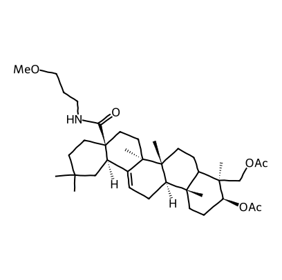 COCCCNC(=O)[C@]12CCC(C)(C)C[C@@H]1C1=CC[C@@H]3[C@@]4(C)CC[C@H](OC(C)=O)[C@](C)(COC(C)=O)C4CC[C@@]3(C)[C@]1(C)CC2